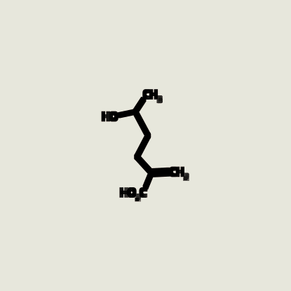 C=C(CCC(C)O)C(=O)O